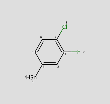 Fc1c[c]([SnH])ccc1Cl